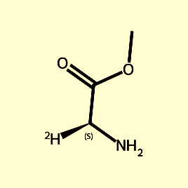 [2H][C@H](N)C(=O)OC